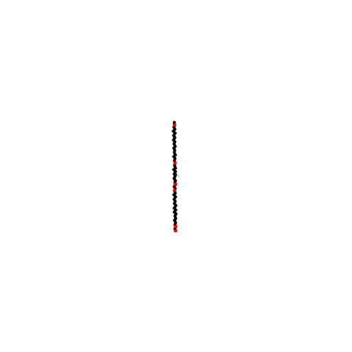 CCCCCCCCCCCCCCCCCCCCCCCCCC[P]CCCCCCCCCCCCCCCCCCCCCCCCCC